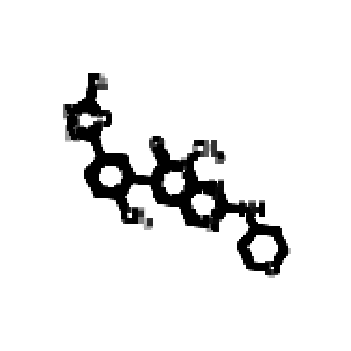 CCc1nnc(-c2ccc(C)c(-c3cc4cnc(NC5CCOCC5)nc4n(C)c3=O)c2)o1